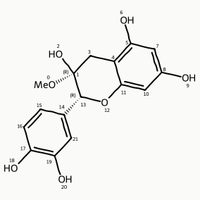 CO[C@]1(O)Cc2c(O)cc(O)cc2O[C@@H]1c1ccc(O)c(O)c1